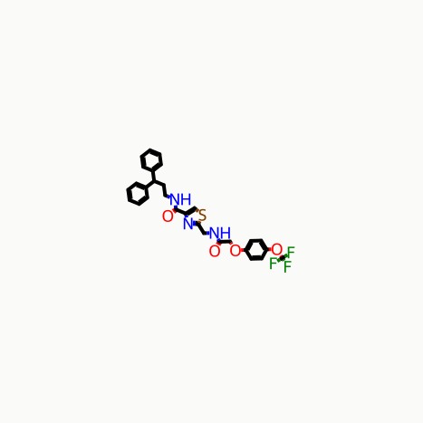 O=C(COc1ccc(OC(F)(F)F)cc1)NCc1nc(C(=O)NCCC(c2ccccc2)c2ccccc2)cs1